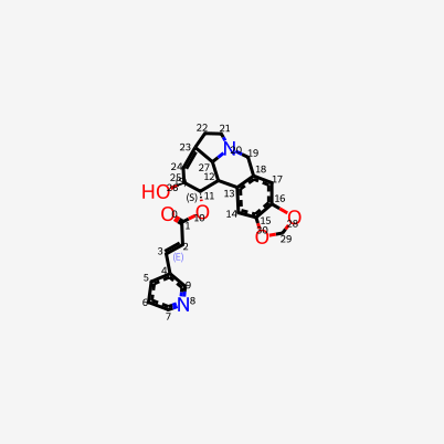 O=C(/C=C/c1cccnc1)O[C@H]1C2c3cc4c(cc3CN3CCC(=C[C@@H]1O)C23)OCO4